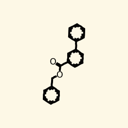 O=C(OCc1ccccc1)c1cccc(-c2ccccc2)c1